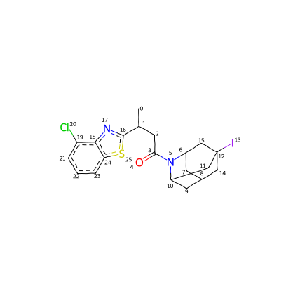 CC(CC(=O)N1C2CC3CC1CC(I)(C3)C2)c1nc2c(Cl)cccc2s1